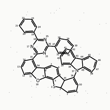 C1=CC2Sc3c(ccc4c3oc3cccc(-c5nc(-c6ccccc6)nc(-c6ccccc6)n5)c34)C2C(n2c3ccccc3c3ccccc32)=C1